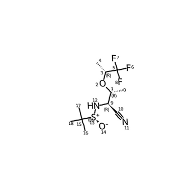 C[C@@H](O[C@H](C)C(F)(F)F)[C@@H](C#N)N[S@@+]([O-])C(C)(C)C